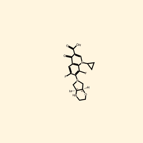 O=C(O)c1cn(C2CC2)c2c(F)c(N3C[C@@H]4NCCO[C@@H]4C3)c(F)cc2c1=O